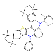 Cc1ccccc1N1c2cc3c(cc2B2c4sc5c(c4N(c4ccccc4)c4cccc1c42)C=C1C(C5)C(C)(C)CCC1(C)C)C(C)(C)CCC3(C)C